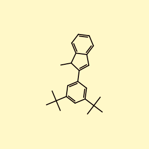 CC1C(c2cc(C(C)(C)C)cc(C(C)(C)C)c2)=Cc2ccccc21